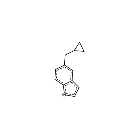 c1cc2cc(CC3CC3)ccc2[nH]1